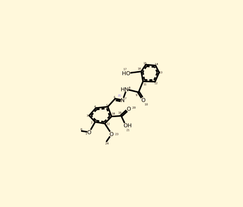 COc1ccc(/C=N/NC(=O)c2ccccc2O)c(C(=O)O)c1OC